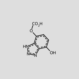 O=C(O)Oc1ccc(O)c2nn[nH]c12